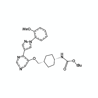 COc1ccccc1-n1cc(-c2ncncc2OC[C@H]2CC[C@@H](NC(=O)OC(C)(C)C)CC2)cn1